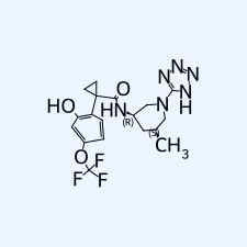 C[C@H]1C[C@@H](NC(=O)C2(c3ccc(OC(F)(F)F)cc3O)CC2)CN(c2nnn[nH]2)C1